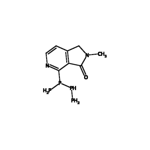 CN1Cc2ccnc(P(P)PP)c2C1=O